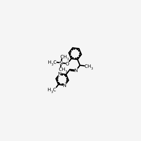 Cc1cnc(C=NC(C)c2ccccc2O[Si](C)(C)C)cn1